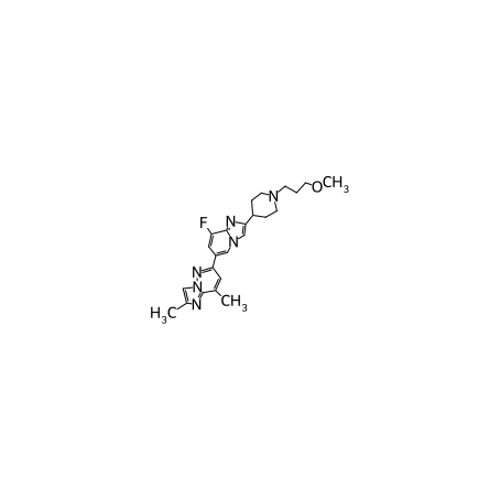 COCCCN1CCC(c2cn3cc(-c4cc(C)c5nc(C)cn5n4)cc(F)c3n2)CC1